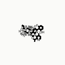 BC1(B)N(C(=O)C=C)C(B)(B)C(B)(B)N(c2nc(=O)n(-c3c(C)ccnc3C(C)C)c3nc(-c4c(O)cccc4F)c(F)cc23)C1(B)B